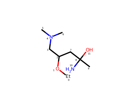 CCOC(CN(C)C)CC(C)(N)O